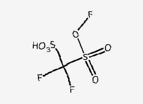 O=S(=O)(O)C(F)(F)S(=O)(=O)OF